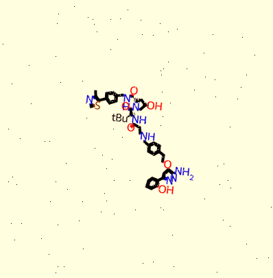 Cc1ncsc1-c1ccc(CNC(=O)[C@@H]2C[C@@H](O)CN2C(=O)[C@@H](NC(=O)CCNCc2ccc(CCOc3cc(-c4ccccc4O)nnc3N)cc2)C(C)(C)C)cc1